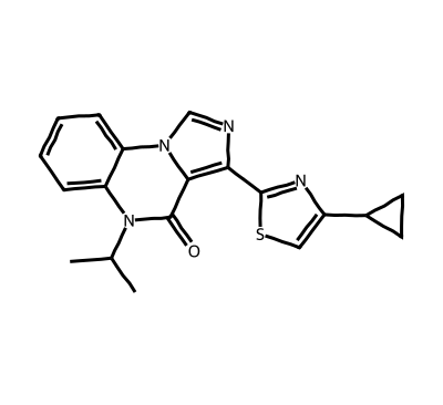 CC(C)n1c(=O)c2c(-c3nc(C4CC4)cs3)ncn2c2ccccc21